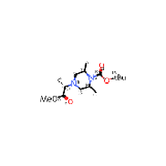 COC(=O)[C@H](C)N1CC(C)N(C(=O)OC(C)(C)C)C(C)C1